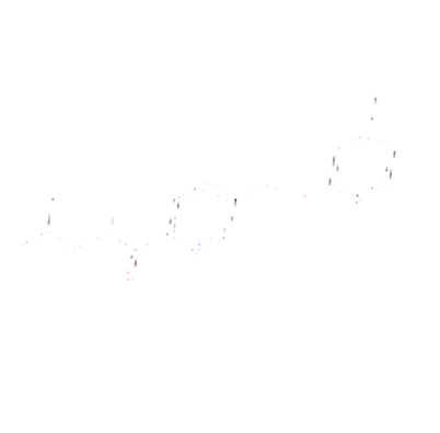 Cc1cccc(OCc2ccc(C(=O)NCC(C)C)nc2)c1